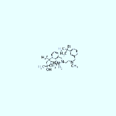 CCC(C)(C)c1cccc(CN(C)CCN(C)Cc2cccc(C(C)(C)CC(C)(C)O)c2O)c1